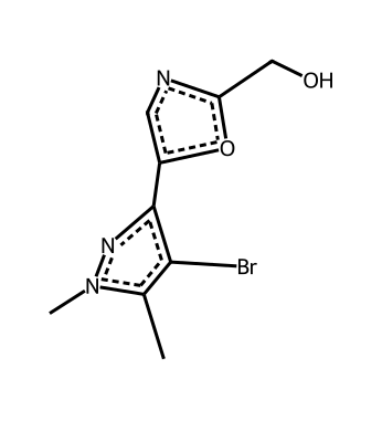 Cc1c(Br)c(-c2cnc(CO)o2)nn1C